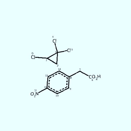 ClC1CC1(Cl)Cl.O=C(O)Cc1ccc([N+](=O)[O-])cc1